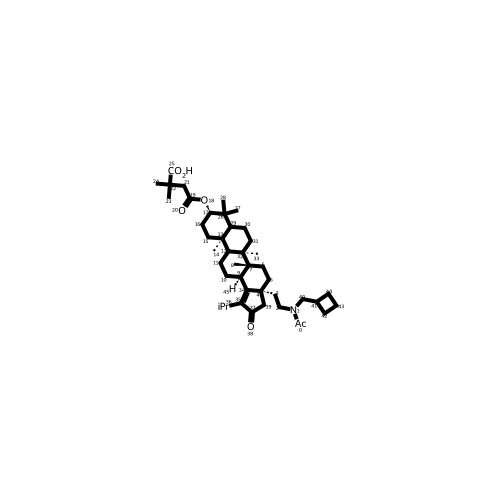 CC(=O)N(CC[C@@]12CC[C@]3(C)[C@H](CCC4[C@@]5(C)CC[C@H](OC(=O)CC(C)(C)C(=O)O)C(C)(C)C5CC[C@]43C)C1=C(C(C)C)C(=O)C2)CC1CCC1